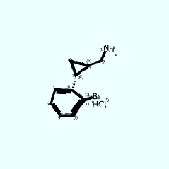 Cl.NC[C@@H]1C[C@H]1c1ccccc1Br